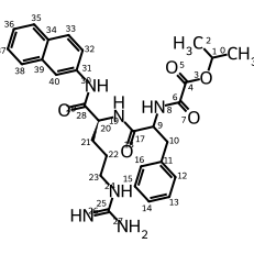 CC(C)OC(=O)C(=O)NC(Cc1ccccc1)C(=O)N[C@@H](CCCNC(=N)N)C(=O)Nc1ccc2ccccc2c1